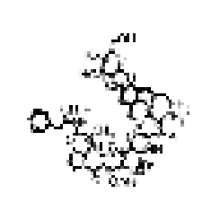 CCC(C)[C@@H]([C@@H](CC(=O)N1CCC[C@H]1[C@H](OC)[C@@H](C)C(=O)NC(Cc1ccccc1)C(=O)O)OC)N(C)C(=O)[C@@H](NC(=O)[C@H](C(C)C)N(C)C(=O)OCc1ccc(O[C@@H]2O[C@H](CO)[C@H](O)[C@H](O)[C@H]2O)c2cc(CN)oc12)C(C)C